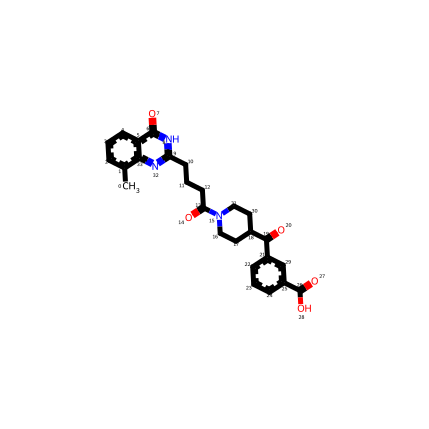 Cc1cccc2c(=O)[nH]c(CCCC(=O)N3CCC(C(=O)c4cccc(C(=O)O)c4)CC3)nc12